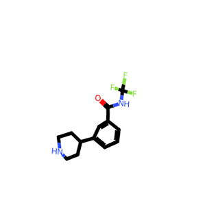 O=C(NC(F)(F)F)c1cccc(C2CCNCC2)c1